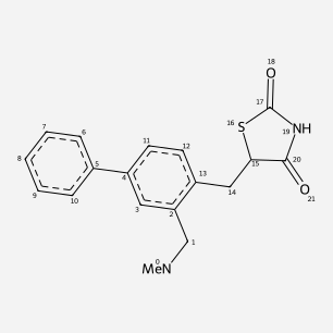 CNCc1cc(-c2ccccc2)ccc1CC1SC(=O)NC1=O